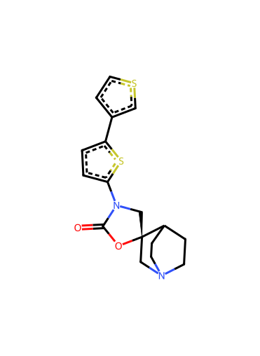 O=C1O[C@]2(CN3CCC2CC3)CN1c1ccc(-c2ccsc2)s1